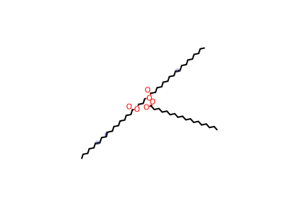 CCCCC/C=C/C/C=C/CCCCCCCC(=O)OCC(COC(=O)CCCCCCC/C=C/CCCCCCCC)OC(=O)CCCCCCCCCCCCCCCCC